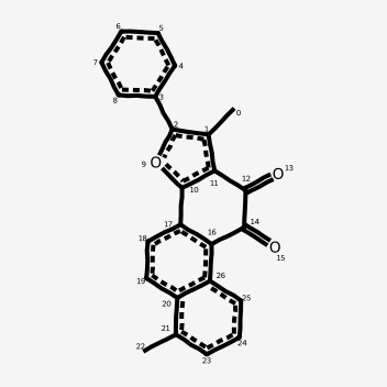 Cc1c(-c2ccccc2)oc2c1C(=O)C(=O)c1c-2ccc2c(C)cccc12